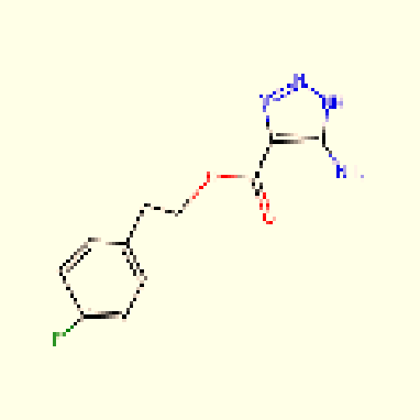 Nc1[nH]nnc1C(=O)OCCc1ccc(F)cc1